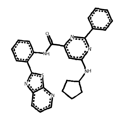 O=C(Nc1ccccc1-c1nc2cccnc2s1)c1cc(NC2CCCC2)nc(-c2ccccc2)n1